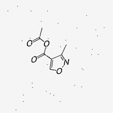 CC(=O)OC(=O)c1conc1C